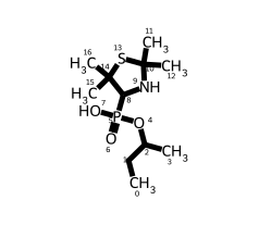 CCC(C)OP(=O)(O)C1NC(C)(C)SC1(C)C